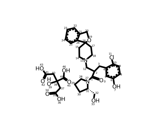 O=C(C(Cc1cc(O)ccc1Cl)CN1CCC2(CC1)OCc1ccccc12)N1CCC[C@H]1CO.O=C(O)CC(O)(CC(=O)O)C(=O)O